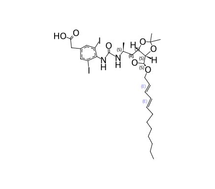 CCCCCCC/C=C/C=C/CO[C@H]1O[C@H]([C@H](C)NC(=O)Nc2c(I)cc(CC(=O)O)cc2I)[C@@H]2OC(C)(C)O[C@H]12